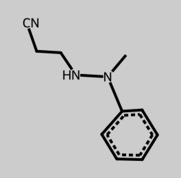 CN(NCCC#N)c1ccccc1